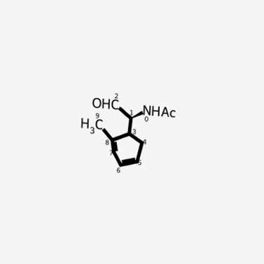 CC(=O)N[C@H](C=O)C1CC=CC=C1C